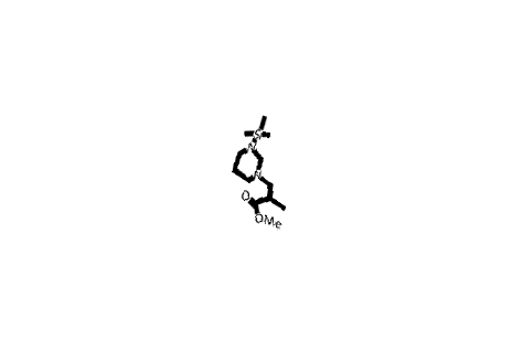 COC(=O)C(C)CN1CCCN([Si](C)(C)C)C1